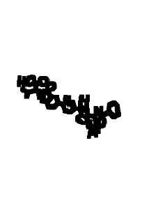 CC(C)C(C(=O)O)N1Cc2ccc(-c3ccc(NC(=O)c4nc(-c5ccccc5)oc4C(F)(F)F)cn3)cc2C1=O